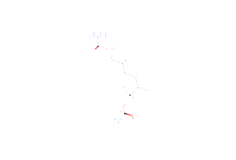 CC(CCCCOC(N)=O)C(C)(C)OC(N)=O